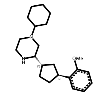 COc1ccccc1[C@H]1CC[C@H](C2CN(C3CCCCC3)CCN2)C1